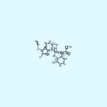 C#CCc1c(C)nc2c(NCc3c(C)cccc3NC(=O)OC)c(C)ccn12